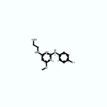 COc1cc(NCCO)nc(Nc2ccc(F)cc2)n1